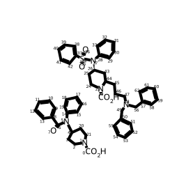 O=C(O)N1CCC(N(C(=O)c2ccccc2)c2ccccc2)CC1.O=C(O)N1CC[C@H](N(c2ccccc2)S(=O)(=O)c2ccccc2)CC1CCCN(Cc1ccccc1)Cc1ccccc1